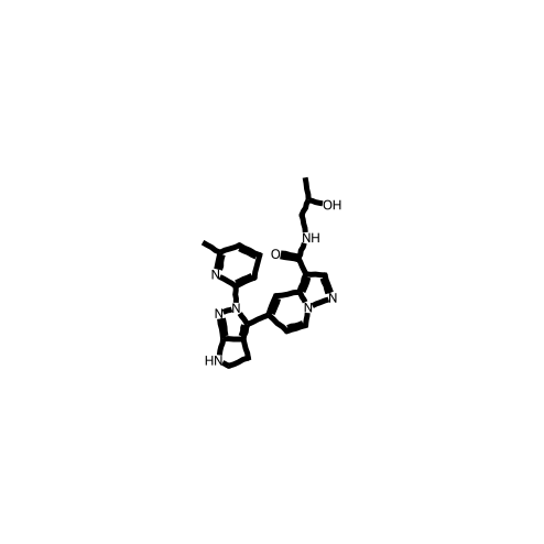 Cc1cccc(-n2nc3c(c2-c2ccn4ncc(C(=O)NCC(C)O)c4c2)CCN3)n1